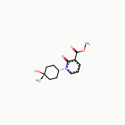 COC(=O)c1cccn([C@H]2CC[C@@](C)(O)CC2)c1=O